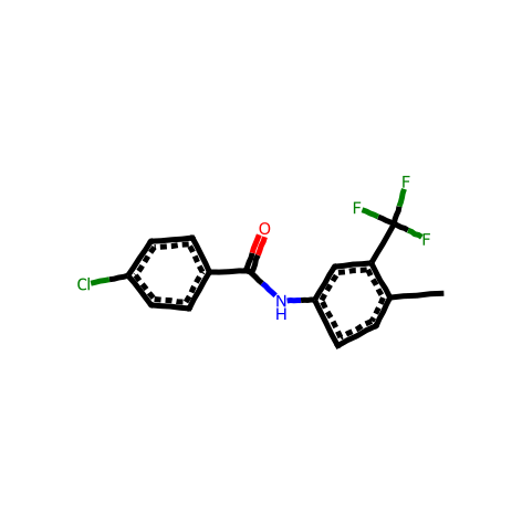 Cc1ccc(NC(=O)c2ccc(Cl)cc2)cc1C(F)(F)F